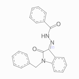 O=C(N/N=C1\C(=O)N(Cc2ccccc2)c2ccccc21)c1ccccc1